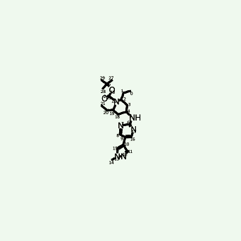 CCC1CC(Nc2ncc(-c3cnn(C)c3)cn2)CC(CC)N1C(=O)OC(C)(C)C